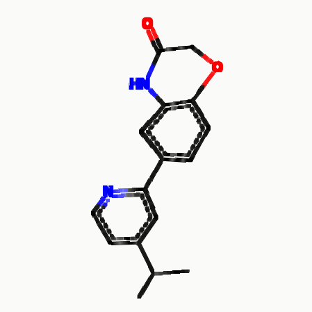 CC(C)c1ccnc(-c2ccc3c(c2)NC(=O)CO3)c1